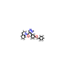 Cn1ncc(C(=O)N2CCCC3CCCC=C32)c1-c1cccc(OCc2ccccc2)c1